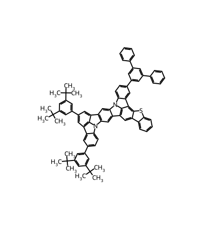 CC(C)(C)c1cc(-c2ccc3c(c2)c2cc(-c4cc(C(C)(C)C)cc(C(C)(C)C)c4)cc4c5cc6c(cc5n3c24)c2cc3c4ccccc4sc3c3c4cc(-c5cc(-c7ccccc7)cc(-c7ccccc7)c5)ccc4n6c23)cc(C(C)(C)C)c1